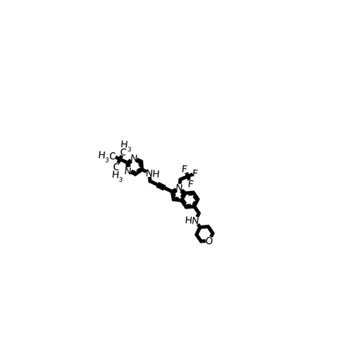 CC(C)(C)c1ncc(NCC#Cc2cc3cc(CNC4CCOCC4)ccc3n2CC(F)(F)F)cn1